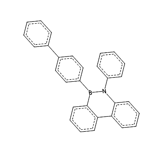 c1ccc(-c2ccc(B3c4ccccc4-c4ccccc4N3c3ccccc3)cc2)cc1